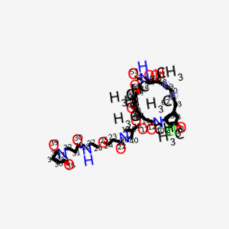 COc1cc2cc(c1Cl)N(C)C(=O)C[C@H](OC(=O)C1CN(C(=O)CCOCCNC(=O)CCN3C(=O)C=CC3=O)C1)[C@@]1(C)O[C@H]1[C@H](C)[C@@H]1C[C@@](O)(NC(=O)O1)C(OC)/C=C/C=C(\C)C2